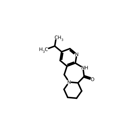 CC(C)c1cnc2c(c1)CN1CCCCC1C(=O)N2